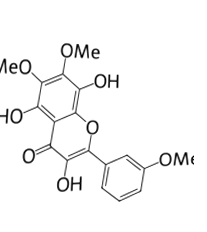 COc1cccc(-c2oc3c(O)c(OC)c(OC)c(O)c3c(=O)c2O)c1